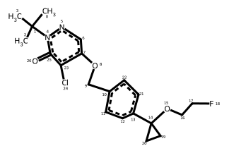 CC(C)(C)n1ncc(OCc2ccc(C3(OCCF)CC3)cc2)c(Cl)c1=O